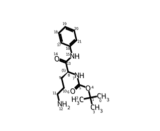 CC(C)(C)OC(=O)N[C@@H](CCCN)C(=O)Nc1[c]cccc1